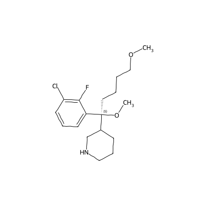 COCCCC[C@@](OC)(c1cccc(Cl)c1F)C1CCCNC1